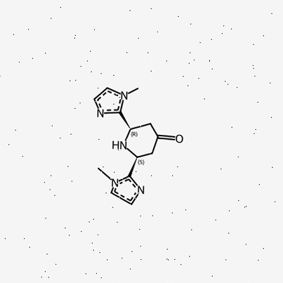 Cn1ccnc1[C@@H]1CC(=O)C[C@H](c2nccn2C)N1